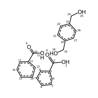 O=C(O)c1ccccc1.O=C(O)c1ccccc1.OCc1ccc(CO)cc1